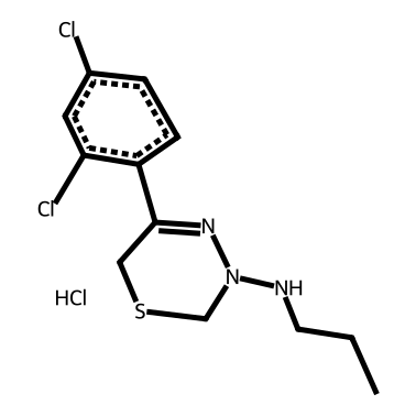 CCCNN1CSCC(c2ccc(Cl)cc2Cl)=N1.Cl